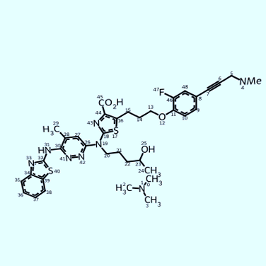 CN(C)C.CNCC#Cc1ccc(OCCCc2sc(N(CCCC(C)O)c3cc(C)c(Nc4nc5ccccc5s4)nn3)nc2C(=O)O)c(F)c1